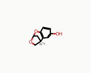 C[C@]12COC(C1)Oc1ccc(O)cc12